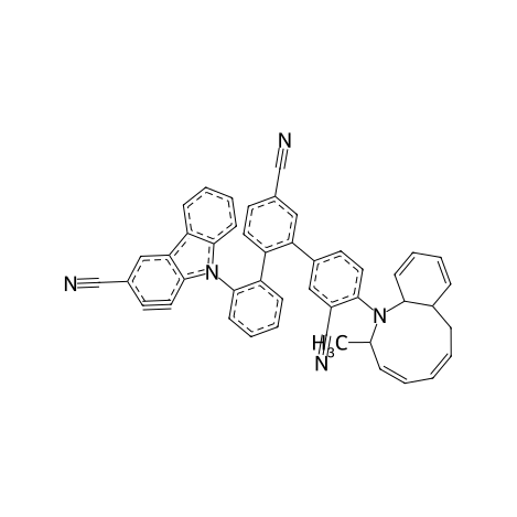 CC1/C=C\C=C/CC2C=CC=CC2N1c1ccc(-c2cc(C#N)ccc2-c2ccccc2-n2c3c#cc(C#N)cc3c3ccccc32)cc1C#N